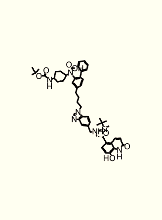 CC(C)(C)OC(=O)NC1CCC(N(C(=O)O)c2cc(CCCCn3cnc4cc(CNC[C@H](O[Si](C)(C)C(C)(C)C)c5ccc(O)c6[nH]c(=O)ccc56)ccc43)ccc2-c2ccccc2)CC1